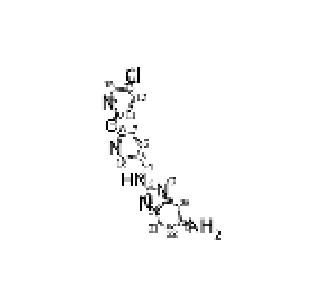 Cn1c(NCc2ccc(Oc3ccc(Cl)cn3)nc2)nc2ccc(N)cc21